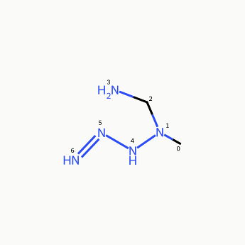 CN(CN)NN=N